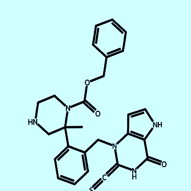 CC1(c2ccccc2CN2C(=C=S)NC(=O)c3[nH]ccc32)CNCCN1C(=O)OCc1ccccc1